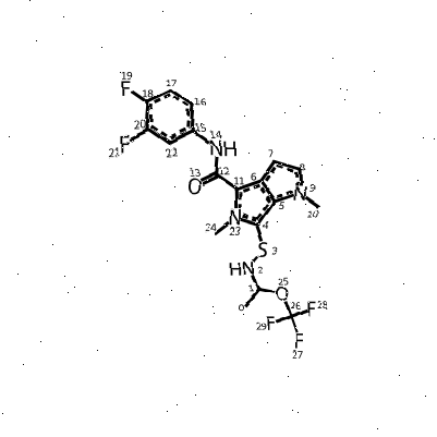 CC(NSc1c2c(ccn2C)c(C(=O)Nc2ccc(F)c(F)c2)n1C)OC(F)(F)F